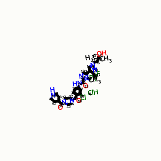 Cl.Cn1c(-c2cn(CCC(C)(C)O)nc2C(F)(F)F)cnc1C(=O)Nc1ccc(C(=O)N2CCN(C(=O)C3CCNCC3)CC2)c(Cl)c1